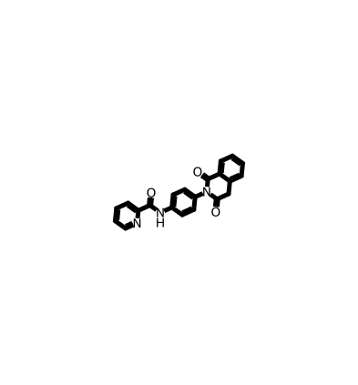 O=C(Nc1ccc(N2C(=O)Cc3ccccc3C2=O)cc1)c1ccccn1